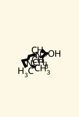 CC(C)(C)N1CCC1CC(C)(C)N1CC(O)C1